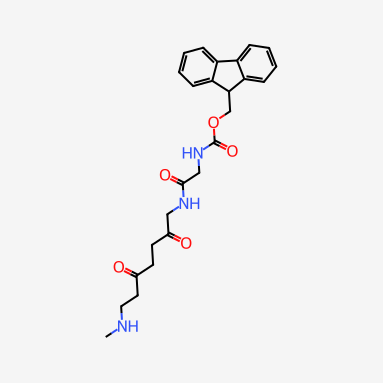 CNCCC(=O)CCC(=O)CNC(=O)CNC(=O)OCC1c2ccccc2-c2ccccc21